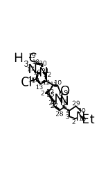 CCN1CCC(C2=NN3C(=O)\C=C(c4cc(Cl)c5nc(C)cn5c4)/C=C/C=C/3C=C2)CC1